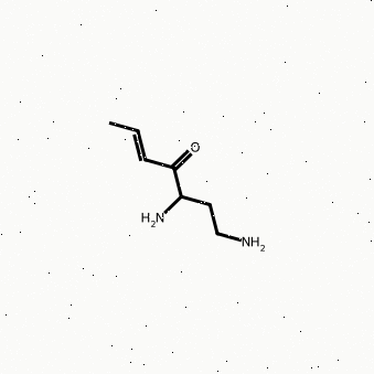 CC=CC(=O)C(N)CCN